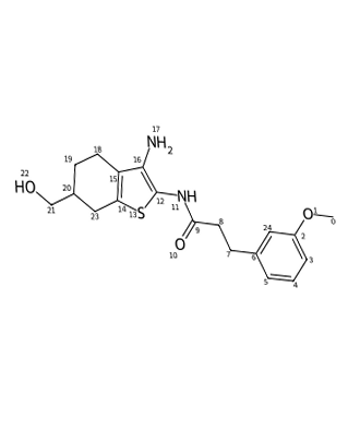 COc1cccc(CCC(=O)Nc2sc3c(c2N)CCC(CO)C3)c1